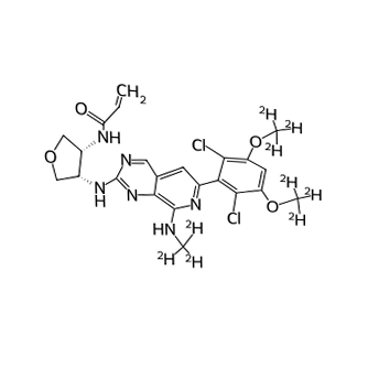 [2H]C([2H])([2H])Nc1nc(-c2c(Cl)c(OC([2H])([2H])[2H])cc(OC([2H])([2H])[2H])c2Cl)cc2cnc(N[C@@H]3COC[C@@H]3NC(=O)C=C)nc12